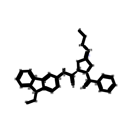 CCO/N=C1\C[C@@H](C(=O)Nc2ccc3c(c2)c2ccccc2n3CC)N(C(=O)c2ccccc2)C1